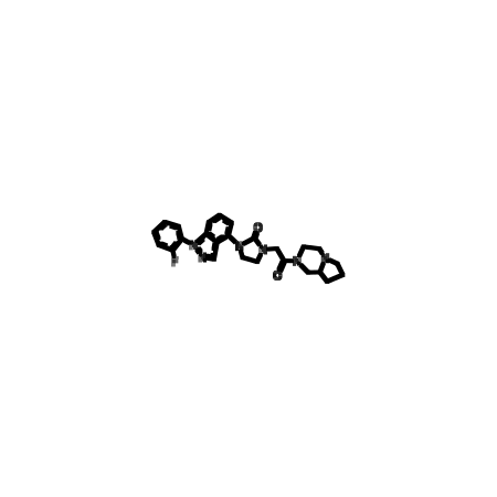 O=C(CN1CCN(c2cccc3c2cnn3-c2ccccc2F)C1=O)N1CCN2CCCC2C1